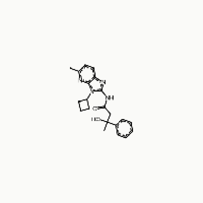 Cc1ccc2nc(NC(=O)CC(C)(O)c3ccccc3)n(C3CCC3)c2n1